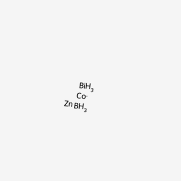 B.[BiH3].[Co].[Zn]